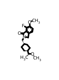 COc1ccc2c(c1F)C(=O)N(C[C@H]1CC[C@H]([C@@H](C)OC)CC1)C2